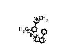 COc1cc(-c2cnn(C)c2)ccc1Nc1ncc2ccnc(-c3ccccc3)c2n1